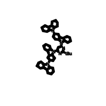 CC(C)(C)c1nc(-n2c3ccccc3c3cc(-n4c5ccccc5c5ccccc54)ccc32)cc(-n2c3ccccc3c3cc(-n4c5ccccc5c5ccccc54)ccc32)n1